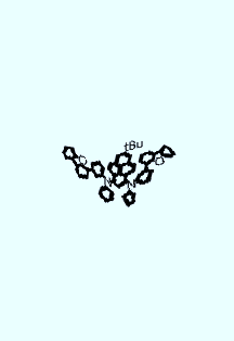 CC(C)(C)c1cc2ccc3c(N(c4ccccc4)c4cccc(-c5cccc6c5oc5ccccc56)c4)cc(N(c4ccccc4)c4cccc(-c5cccc6c5oc5ccccc56)c4)c4ccc(c1)c2c34